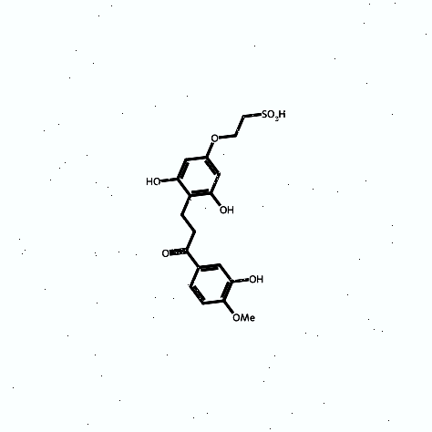 COc1ccc(C(=O)CCc2c(O)cc(OCCS(=O)(=O)O)cc2O)cc1O